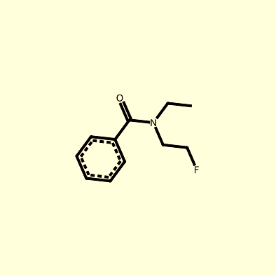 CCN(CCF)C(=O)c1ccccc1